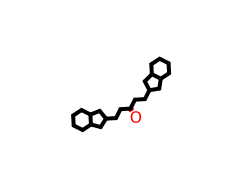 O=C(CCC1CC2CCCCC2C1)CCC1CC2CCCCC2C1